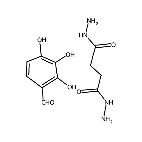 NNC(=O)CCC(=O)NN.O=Cc1ccc(O)c(O)c1O